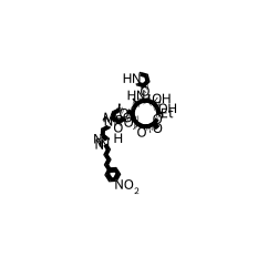 CC[C@H]1OC(=O)[C@H](C)C(=O)[C@H](C)[C@@H](O[C@@H]2O[C@H](C)C[C@H](N(C)CCc3cn(CCCCc4ccc([N+](=O)[O-])cc4)nn3)[C@H]2O)[C@](C)(OC)C[C@@H](C)[C@@H](NO[C@@H]2CCCNC2)[C@@H](C)[C@H](O)[C@@]1(C)O